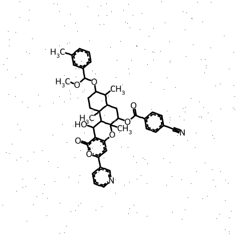 COC(OC1CCC2(C)C(CC(OC(=O)c3ccc(C#N)cc3)C3(C)Oc4cc(-c5cccnc5)oc(=O)c4C(O)C23)C1C)c1cccc(C)c1